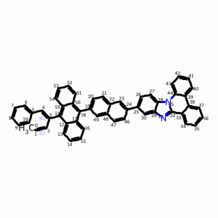 C/C=C\C(=C/c1ccccc1)c1c2ccccc2c(-c2ccc3cc(-c4ccc5c(c4)nc4c6ccccc6c6ccccc6n54)ccc3c2)c2ccccc12